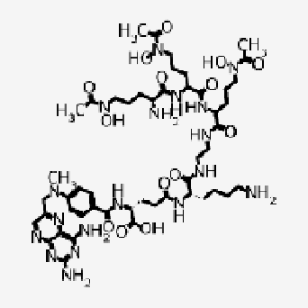 CC(=O)N(O)CCCC(NC(=O)[C@H](CCCN(O)C(C)=O)NC(=O)[C@@H](N)CCCN(O)C(C)=O)C(=O)NCCNC(=O)[C@H](CCCCN)NC(=O)CC[C@@H](NC(=O)c1ccc(N(C)Cc2cnc3nc(N)nc(N)c3n2)cc1)C(=O)O